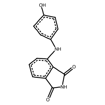 O=C1NC(=O)c2c(Nc3ccc(O)cc3)cccc21